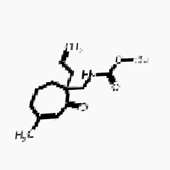 C=CC[C@]1(CNC(=O)OC(C)(C)C)CCCC(C)=CC1=O